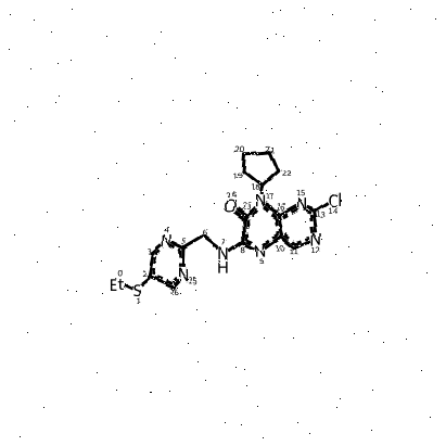 CCSc1cnc(CNc2nc3cnc(Cl)nc3n(C3CCCC3)c2=O)nc1